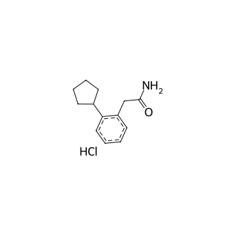 Cl.NC(=O)Cc1ccccc1C1CCCC1